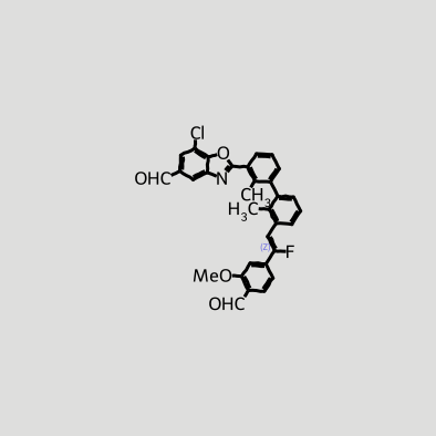 COc1cc(/C(F)=C/c2cccc(-c3cccc(-c4nc5cc(C=O)cc(Cl)c5o4)c3C)c2C)ccc1C=O